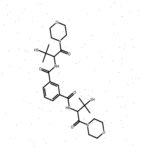 CC(C)(S)C(NC(=O)c1cccc(C(=O)NC(C(=O)N2CCOCC2)C(C)(C)S)c1)C(=O)N1CCOCC1